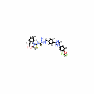 Cc1ccc(C(C)C)c(N2/C(=N/C(=S)N/N=C/c3ccc(-c4ncn(-c5ccc(OC(F)(F)F)cc5)n4)cc3)SCC2O)c1